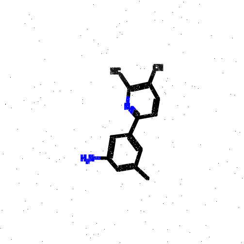 Cc1cc(N)cc(-c2ccc(C#N)c(C#N)n2)c1